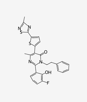 Cc1nsc(-c2ccc(-c3c(C)nc(-c4cccc(F)c4O)n(CCc4ccccc4)c3=O)s2)n1